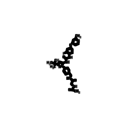 CC(=O)NCC(=O)NCc1ccc(-n2nc(C(C)(C)C)cc2NC(=O)Nc2ccc(Oc3ccnc(C)c3)cc2F)cc1